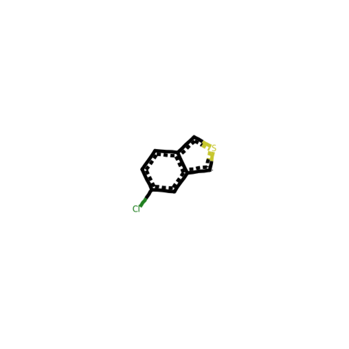 Clc1ccc2cs[c]c2c1